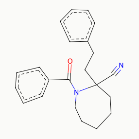 N#CC1(CCc2ccccc2)CCCCCN1C(=O)c1ccccc1